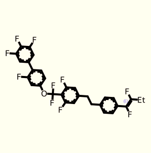 CC/C(F)=C(\F)c1ccc(CCc2cc(F)c(C(F)(F)Oc3ccc(-c4cc(F)c(F)c(F)c4)c(F)c3)c(F)c2)cc1